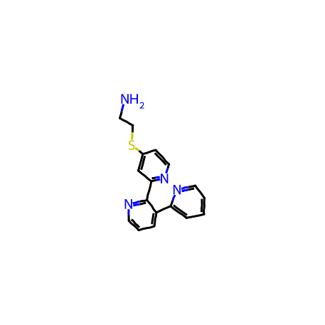 NCCSc1ccnc(-c2ncccc2-c2ccccn2)c1